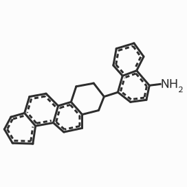 Nc1ccc(C2CCc3c(ccc4c3ccc3ccccc34)C2)c2ccccc12